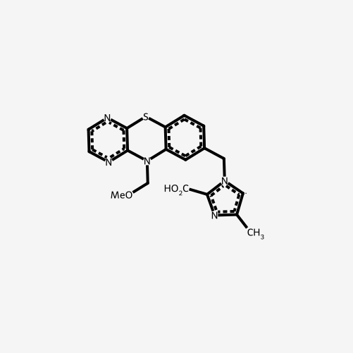 COCN1c2cc(Cn3[c]c(C)nc3C(=O)O)ccc2Sc2nccnc21